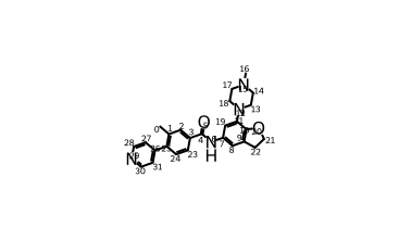 Cc1cc(C(=O)Nc2cc3c(c(N4CCN(C)CC4)c2)OCC3)ccc1-c1ccncc1